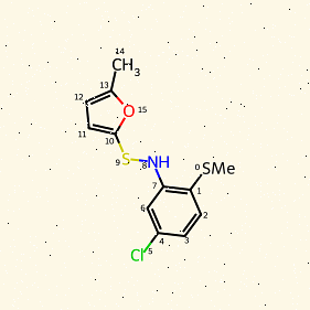 CSc1ccc(Cl)cc1NSc1ccc(C)o1